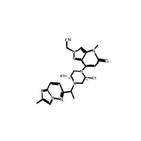 CC[C@H]1CN(C(C)c2ccc3nc(C)cn3n2)[C@H](CC)CN1c1cc(=O)n(C)c2cn(CC#N)nc12